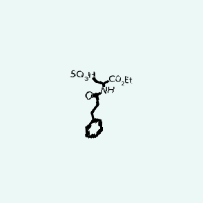 CCOC(=O)C(CS(=O)(=O)O)NC(=O)CCc1ccccc1